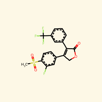 CS(=O)(=O)c1ccc(C2=C(c3cccc(C(F)(F)F)c3)C(=O)OC2)cc1F